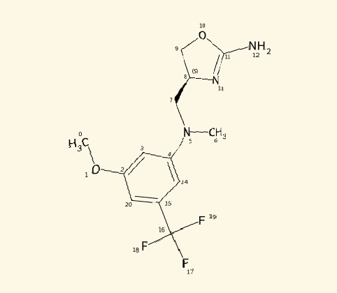 COc1cc(N(C)C[C@H]2COC(N)=N2)cc(C(F)(F)F)c1